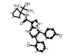 CC(C)(O)C1(NC(=O)c2cnn3c(-c4ccc(Cl)cc4)c(-c4ccccc4Cl)cnc23)CCCC1